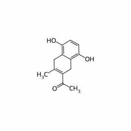 CC(=O)C1=C(C)Cc2c(O)ccc(O)c2C1